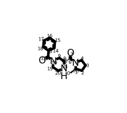 C[C@@H]1CCCN1C(=O)[C@H]1CN(C(=O)c2ccccc2)CCN1